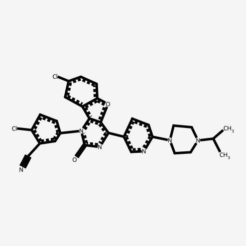 CC(C)N1CCN(c2ccc(-c3nc(=O)n(-c4ccc(Cl)c(C#N)c4)c4c3oc3ccc(Cl)cc34)cn2)CC1